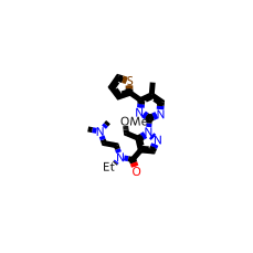 CCN(CCN(C)C)C(=O)c1cnn(-c2ncc(C)c(-c3cccs3)n2)c1COC